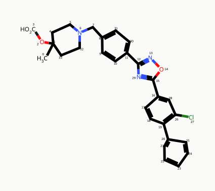 CC1(OC(=O)O)CCN(Cc2ccc(-c3noc(-c4ccc(-c5ccccc5)c(Cl)c4)n3)cc2)CC1